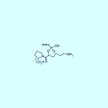 CCCCCCP(=O)(O)OC(CCCCN)C(=O)N1CCC[C@H]1C(=O)O